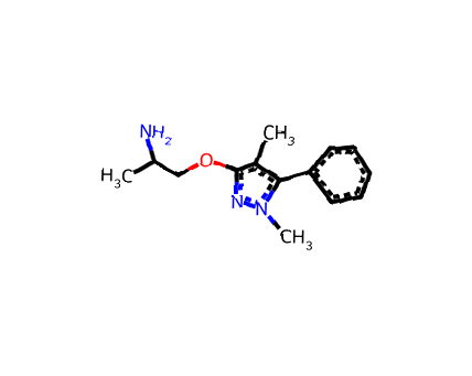 Cc1c(OCC(C)N)nn(C)c1-c1ccccc1